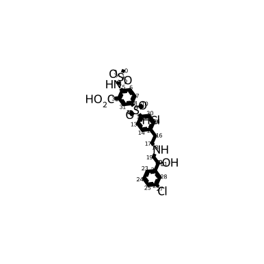 CS(=O)(=O)Nc1ccc(S(=O)(=O)c2ccc(CCNC[C@H](O)c3cccc(Cl)c3)cc2)cc1C(=O)O.Cl